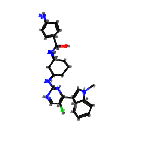 Cn1cc(-c2nc(N[C@@H]3CCC[C@H](NC(=O)c4ccc(N)cc4)C3)ncc2Cl)c2ccccc21